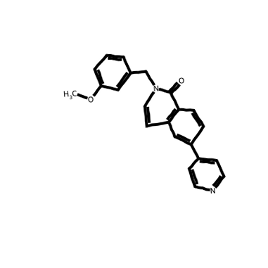 COc1cccc(Cn2ccc3cc(-c4ccncc4)ccc3c2=O)c1